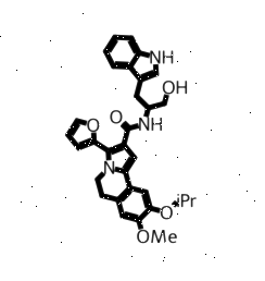 COc1cc2c(cc1OC(C)C)-c1cc(C(=O)NC(CO)Cc3c[nH]c4ccccc34)c(-c3ccco3)n1CC2